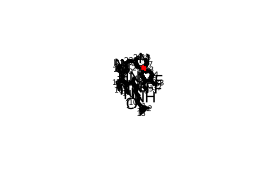 COc1c(Nc2nc(NC(=O)C3CC3)nn3ccc(-c4cnn(Cc5cccnc5)c4)c23)cccc1C(F)(F)F